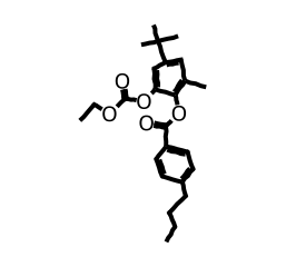 CCCCc1ccc(C(=O)Oc2c(C)cc(C(C)(C)C)cc2OC(=O)OCC)cc1